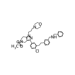 CS(=O)(=O)N1CCc2c(c(-c3ccc(Cl)c(CCc4cccc(CNCc5ccccc5)c4)c3)nn2CCCN2CCOCC2)C1